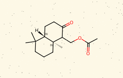 CC(=O)OCC1C(=O)CC[C@H]2C(C)(C)CCC[C@]12C